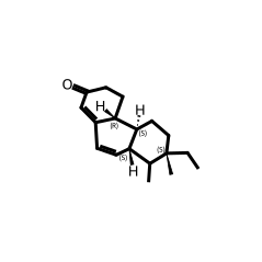 CC[C@@]1(C)CC[C@@H]2[C@H]3CCC(=O)C=C3C=C[C@H]2C1C